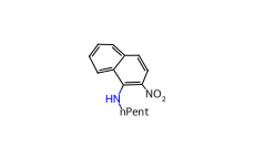 CCCCCNc1c([N+](=O)[O-])ccc2ccccc12